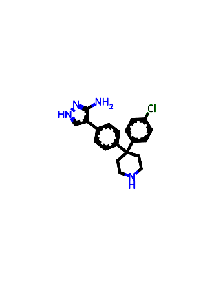 Nc1n[nH]cc1-c1ccc(C2(c3ccc(Cl)cc3)CCNCC2)cc1